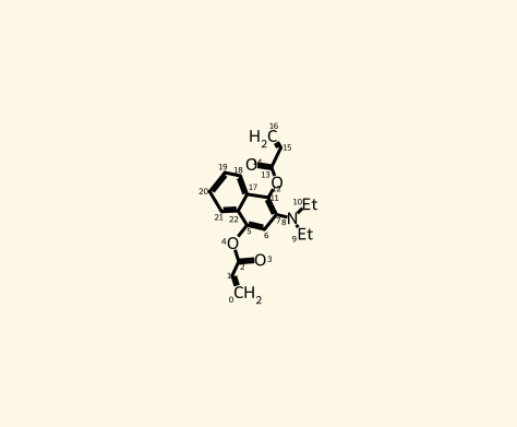 C=CC(=O)Oc1cc(N(CC)CC)c(OC(=O)C=C)c2ccccc12